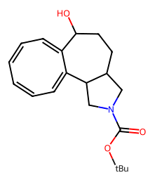 CC(C)(C)OC(=O)N1CC2CCC(O)C3=C/C=C\C=C/C=C\3C2C1